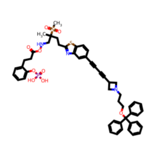 CC(CCc1nc2cc(C#CC#CC3CN(CCCOC(c4ccccc4)(c4ccccc4)c4ccccc4)C3)ccc2s1)(CNOC(=O)CCc1ccccc1OP(=O)(O)O)S(C)(=O)=O